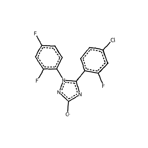 [O]c1nc(-c2ccc(Cl)cc2F)n(-c2ccc(F)cc2F)n1